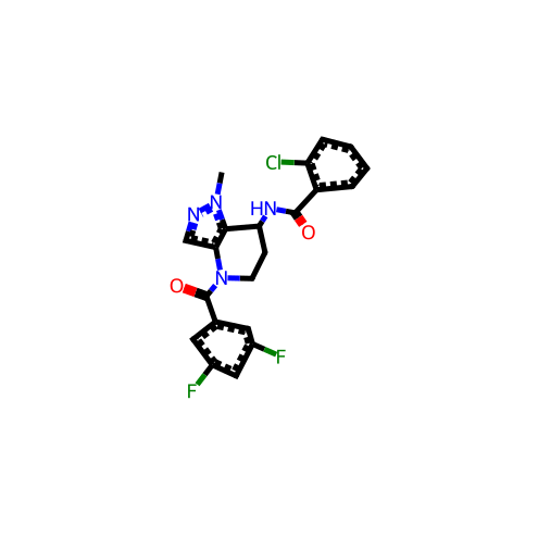 Cn1ncc2c1C(NC(=O)c1ccccc1Cl)CCN2C(=O)c1cc(F)cc(F)c1